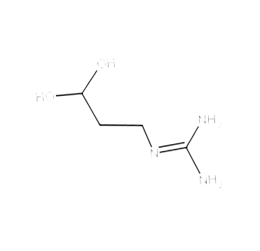 NC(N)=NCCC(O)O